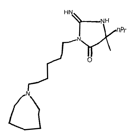 CCCC1(C)NC(=N)N(CCCCCN2CCCCC2)C1=O